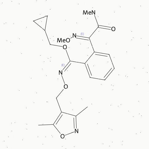 CNC(=O)/C(=N/OC)c1ccccc1/C(=N\OCc1c(C)noc1C)OCC1CC1